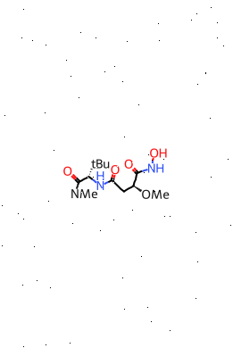 CNC(=O)[C@@H](NC(=O)C[C@H](OC)C(=O)NO)C(C)(C)C